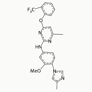 COc1cc(Nc2nc(C)cc(Oc3ccccc3C(F)(F)F)n2)ccc1-n1cnc(C)c1